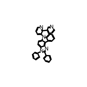 c1ccc(-c2nc3c4c5ccccc5n(-c5cccnc5-c5cccnc5)c4ccc3n2-c2ccccc2)cc1